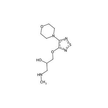 CNCC(O)COc1nsnc1N1CCOCC1